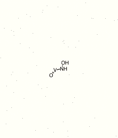 [O]=[V][NH]O